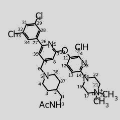 CC(=O)NCC1CCN(Cc2cc(Oc3ccc(N4CC[N+](C)(C)CC4)nc3)nc(-c3cc(Cl)cc(Cl)c3)c2)CC1.Cl